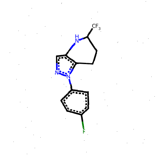 Fc1ccc(-n2ncc3c2CCC(C(F)(F)F)N3)cc1